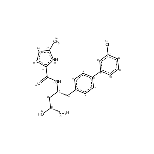 O=C(N[C@H](Cc1ccc(-c2cccc(Cl)c2)cc1)C[C@@H](O)C(=O)O)c1nnc(C(F)(F)F)[nH]1